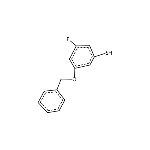 Fc1cc(S)cc(OCc2ccccc2)c1